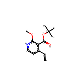 C=Cc1ccnc(OC)c1C(=O)OC(C)(C)C